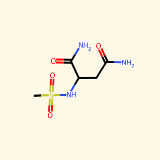 CS(=O)(=O)NC(CC(N)=O)C(N)=O